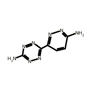 Nc1ccc(-c2nnc(N)nn2)nn1